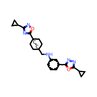 c1cc(NCC23CCC(c4nc(C5CC5)no4)(CC2)CC3)cc(-c2nnc(C3CC3)o2)c1